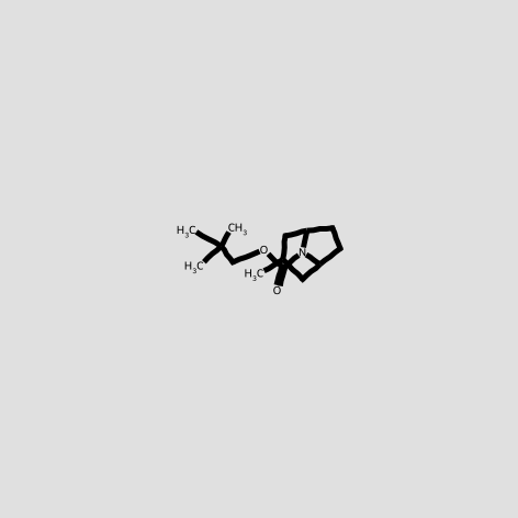 CC1CC2CCC(C1)N2C(=O)OCC(C)(C)C